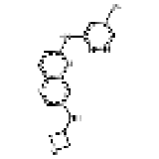 CC(C)c1cnnc(Nc2ccc3ncc(NC4COC4)cc3n2)c1